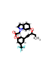 CCC(C#Cc1cccc(C(F)(F)F)c1)Oc1ccc2ccn(CC(=O)O)c2c1